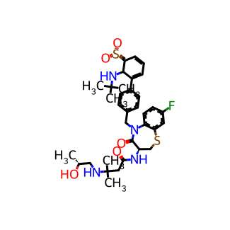 C[C@@H](O)CNC(C)(C)CC(=O)N[C@@H]1CSc2cc(F)ccc2N(Cc2ccc(C3=CC=CC(=S(=O)=O)C3NC(C)(C)C)cc2)C1=O